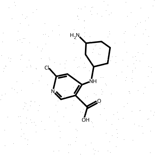 NC1CCCC(Nc2cc(Cl)ncc2C(=O)O)C1